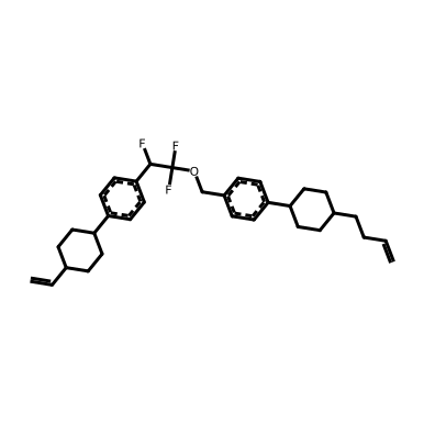 C=CCCC1CCC(c2ccc(COC(F)(F)C(F)c3ccc(C4CCC(C=C)CC4)cc3)cc2)CC1